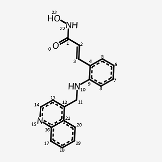 O=C(/C=C/c1ccccc1NCc1ccnc2ccccc12)NO